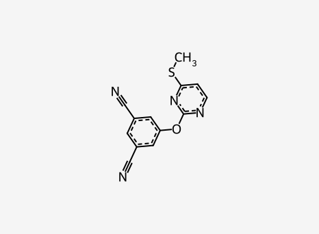 CSc1ccnc(Oc2cc(C#N)cc(C#N)c2)n1